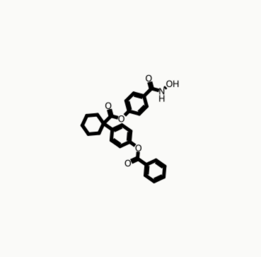 O=C(NO)c1ccc(OC(=O)C2(c3ccc(OC(=O)c4ccccc4)cc3)CCCCC2)cc1